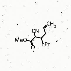 C=CCC(CCC)C(C#N)C(=O)OC